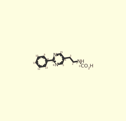 O=C(O)NCCc1cnc(-c2ccccc2)nc1